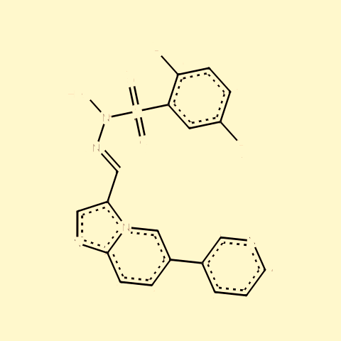 CN(/N=C/c1cnc2ccc(-c3cccnc3)cn12)S(=O)(=O)c1cc(F)ccc1F